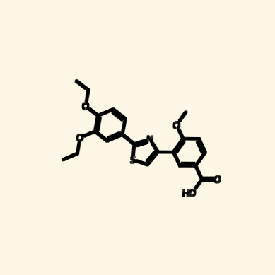 CCOc1ccc(-c2nc(-c3cc(C(=O)O)ccc3OC)cs2)cc1OCC